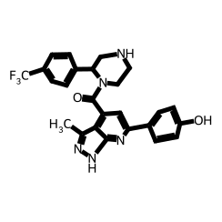 Cc1n[nH]c2nc(-c3ccc(O)cc3)cc(C(=O)N3CCNCC3c3ccc(C(F)(F)F)cc3)c12